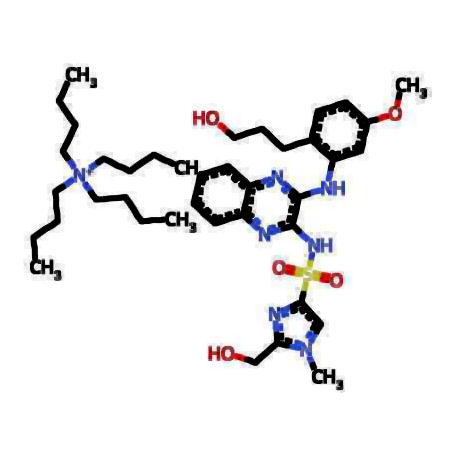 CCCC[N+](CCCC)(CCCC)CCCC.COc1ccc(CCCO)c(Nc2nc3ccccc3nc2NS(=O)(=O)c2cn(C)c(CO)n2)c1